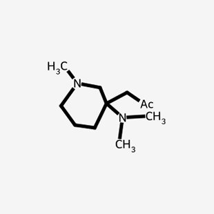 CC(=O)CC1(N(C)C)CCCN(C)C1